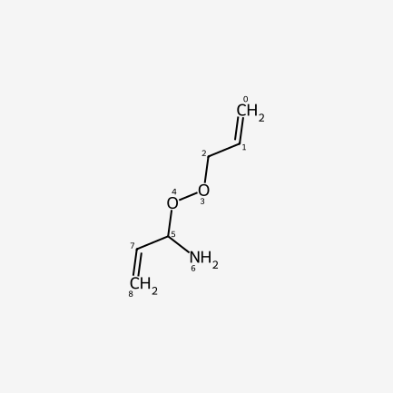 C=CCOOC(N)C=C